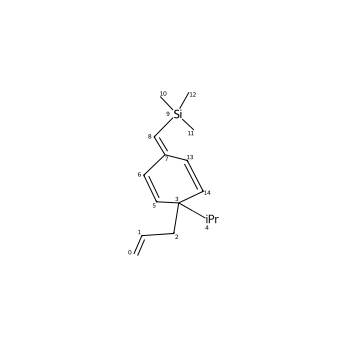 C=CCC1(C(C)C)C=CC(=C[Si](C)(C)C)C=C1